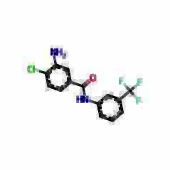 Nc1cc(C(=O)Nc2cccc(C(F)(F)F)c2)ccc1Cl